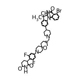 CC1(C)c2ccc(C3CCN(C[C@@H]4CCC5(CCN(c6cc(F)c(C7CCC(=O)NC7=O)c(F)c6)CC5)OC4)CC3)cc2-n2c1nc(=O)c1c(Br)cccc12